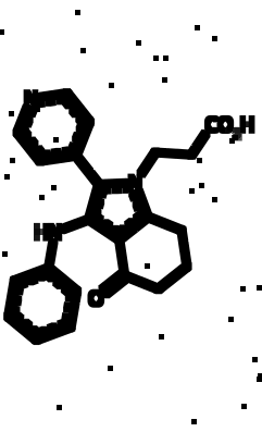 O=C(O)CCn1c2c(c(Nc3ccccc3)c1-c1ccncc1)C(=O)CCC2